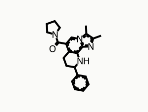 Cc1nc2c3c(c(C(=O)N4CCCC4)cn2c1C)CCC(c1ccccc1)N3